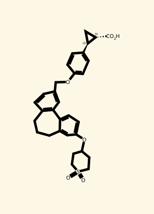 O=C(O)[C@H]1C[C@@H]1c1ccc(OCc2ccc3c(c2)-c2ccc(OC4CCS(=O)(=O)CC4)cc2CCC3)cc1